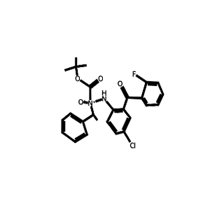 CC(c1ccccc1)[N+]([O-])(Nc1ccc(Cl)cc1C(=O)c1ccccc1F)C(=O)OC(C)(C)C